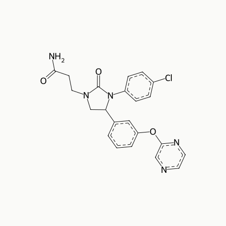 NC(=O)CCN1CC(c2cccc(Oc3cnccn3)c2)N(c2ccc(Cl)cc2)C1=O